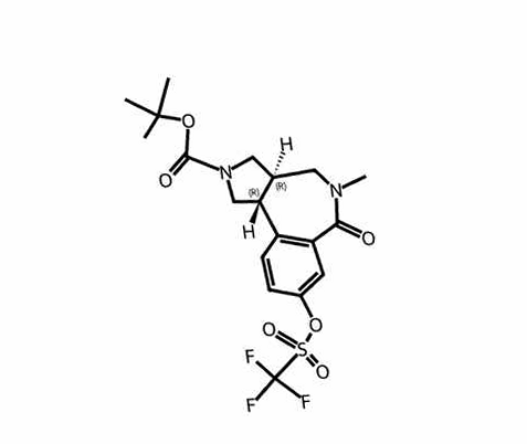 CN1C[C@@H]2CN(C(=O)OC(C)(C)C)C[C@H]2c2ccc(OS(=O)(=O)C(F)(F)F)cc2C1=O